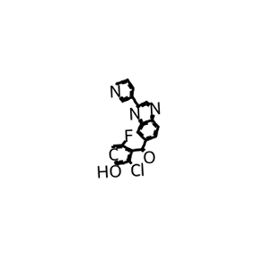 O=C(c1ccc2ncc(-c3cccnc3)nc2c1)c1c(F)ccc(O)c1Cl